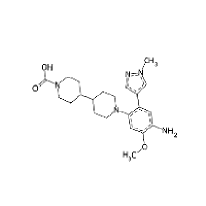 COc1cc(N2CCC(C3CCN(C(=O)O)CC3)CC2)c(-c2cnn(C)c2)cc1N